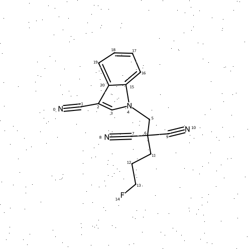 N#Cc1cn(CC(C#N)(C#N)CCCF)c2ccccc12